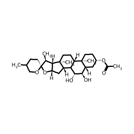 CC(=O)O[C@H]1CC[C@@]2(C)[C@H](C1)[C@@H](O)[C@H](O)C1[C@@H]2CC[C@]2(C)[C@@H]3[C@H](C[C@@H]12)O[C@]1(CCC(C)CO1)[C@H]3C